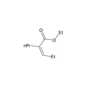 CCC=C(CCC)C(=O)OCC